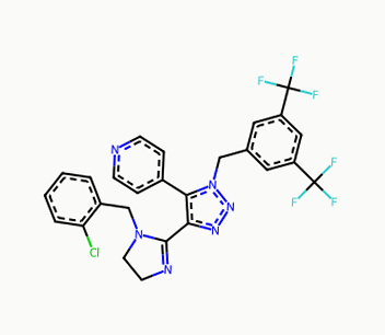 FC(F)(F)c1cc(Cn2nnc(C3=NCCN3Cc3ccccc3Cl)c2-c2ccncc2)cc(C(F)(F)F)c1